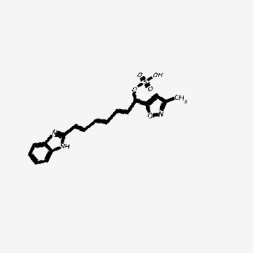 Cc1cc(C(CCCCCCc2nc3ccccc3[nH]2)OS(=O)(=O)O)on1